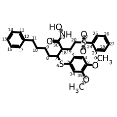 COc1ccc(SC(CCCCc2ccccc2)C(CCS(=O)(=O)c2ccccc2)C(=O)NO)cc1OC